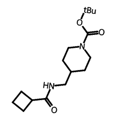 CC(C)(C)OC(=O)N1CCC(CNC(=O)C2CCC2)CC1